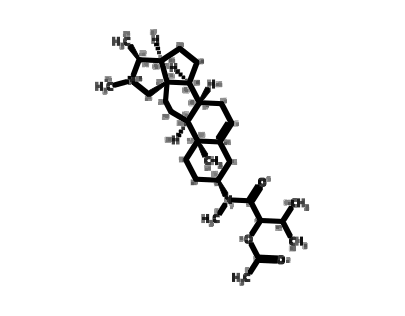 CC(=O)OC(C(=O)N(C)[C@H]1CC[C@@]2(C)C(=CC[C@H]3[C@@H]4CC[C@@H]5[C@H](C)N(C)C[C@@]54CC[C@@H]32)C1)C(C)C